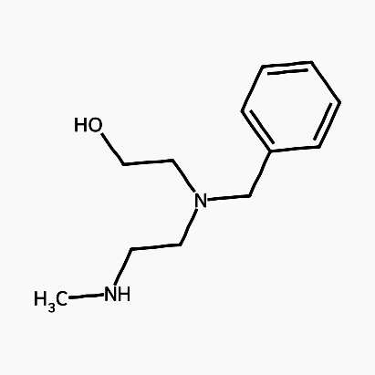 CNCCN(CCO)Cc1ccccc1